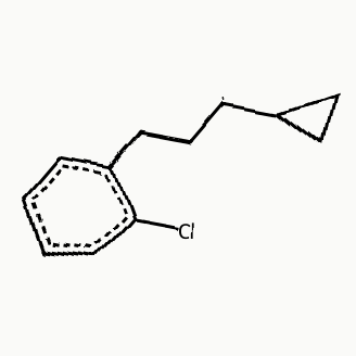 Clc1ccccc1CC[CH]C1CC1